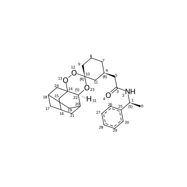 C[C@H](NC(=O)C[C@@H]1CCC[C@]2(C1)OOC13CC4CC(CC(C4)[C@@H]1O2)C3)c1ccccc1